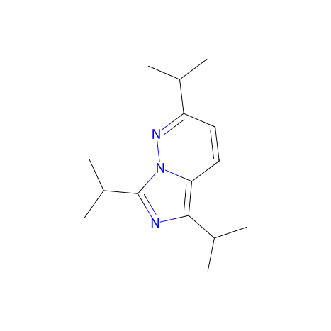 CC(C)c1ccc2c(C(C)C)nc(C(C)C)n2n1